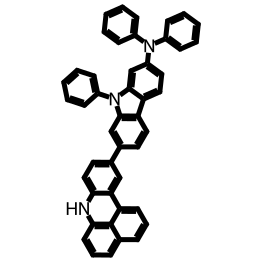 c1ccc(N(c2ccccc2)c2ccc3c4ccc(-c5ccc6c(c5)-c5cccc7cccc(c57)N6)cc4n(-c4ccccc4)c3c2)cc1